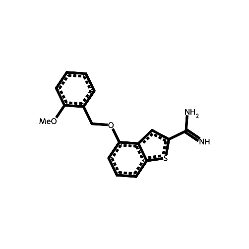 COc1ccccc1COc1cccc2sc(C(=N)N)cc12